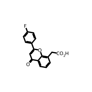 O=C(O)Cc1cccc2c(=O)cc(-c3ccc(F)cc3)oc12